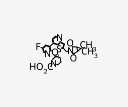 CC1(C)C2C(=O)N(Cc3cc4nccc(-c5cc(F)cnc5O[C@H]5CCCN(C(=O)O)C5)c4s3)C(=O)C21